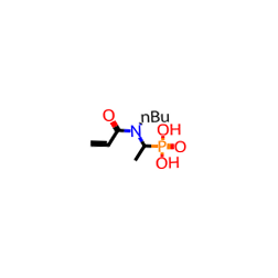 C=CC(=O)N(CCCC)C(C)P(=O)(O)O